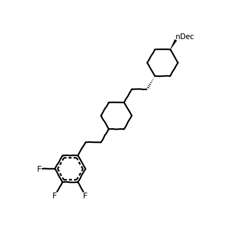 CCCCCCCCCC[C@H]1CC[C@H](CCC2CCC(CCc3cc(F)c(F)c(F)c3)CC2)CC1